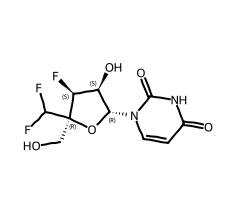 O=c1ccn([C@@H]2O[C@@](CO)(C(F)F)[C@@H](F)[C@H]2O)c(=O)[nH]1